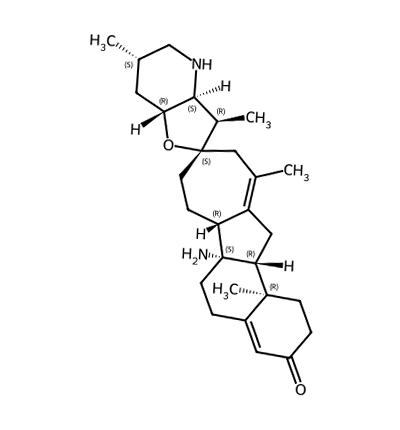 CC1=C2C[C@H]3[C@@](N)(CCC4=CC(=O)CC[C@@]43C)[C@@H]2CC[C@@]2(C1)O[C@@H]1C[C@H](C)CN[C@H]1[C@H]2C